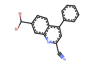 N#Cc1cc(-c2ccccc2)c2ccc(C(Br)Br)cc2n1